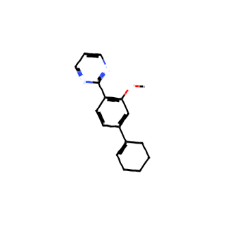 COc1cc(C2=CCCCC2)ccc1-c1ncccn1